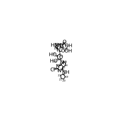 O=P(O)(O)[C@](CO)(OC[C@@H]1O[C@H](n2ncc3c(NC4CCCC4)nc(Cl)nc32)[C@H](O)[C@H]1O)c1nn[nH]n1